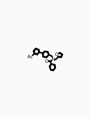 CC(=O)c1cccc(-c2ccc(CN(Cc3ccco3)C(=O)c3ccccc3)cc2)c1